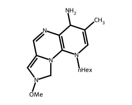 CCCCCCN1C=C(C)C(N)C2=C1N1CN(OC)C=C1C=N2